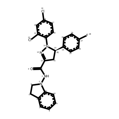 O=C(NN1CCc2ccccc21)C1=NN(c2ccc(Cl)cc2Cl)[C@@H](c2ccc(F)cc2)C1